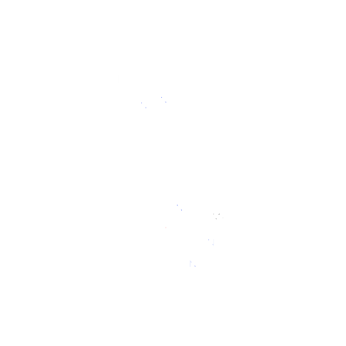 COc1ncnc(C2CC2)c1-c1nc2c(Cc3ccc(-c4nc(C(F)(F)F)cn4C4CC4)cc3)cccc2o1